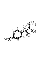 Cc1ccc(S(=O)(=O)C(C)Br)cc1